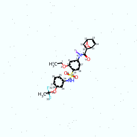 CCOc1cc(N(I)C(=O)C2CC3C=CC2O3)ccc1S(=O)(=O)Nc1cccc(OC(C)(F)F)c1